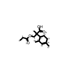 CCC(=O)OCC(C)(C(=O)O)C1CCC(C)=CC1C